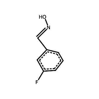 ON=Cc1cccc(F)c1